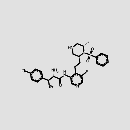 CC(C)C(c1ccc(Cl)cc1)[C@H](N)C(=O)Nc1cncc(F)c1CC[C@H]1CNC[C@H](C)N1S(=O)(=O)c1ccccc1